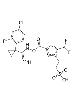 [H]/N=C(\NOC(=O)c1cc(C(F)F)n(CCS(C)(=O)=O)n1)C1(c2ccc(Cl)cc2F)CC1